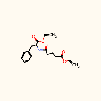 C=COC(=O)CCCC(=O)N[C@@H](Cc1ccccc1)C(=O)OC=C